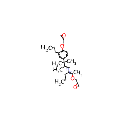 C=CCC(/C=C(\C)C(C)(C)c1ccc(OCC2CO2)c(CC=C)c1)=C(/C)OCC1CO1